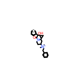 C[N+](C)(CCc1ccccc1)C1CCN(C(=O)C(O)(c2ccccc2)C2CC2)CC1